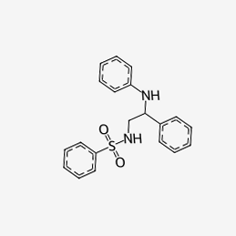 O=S(=O)(NCC(Nc1ccccc1)c1ccccc1)c1ccccc1